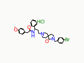 COc1ccc(CC(=O)NC(CCN2CCC3(CC2)CCN(Cc2ccc(Br)cc2)C3=O)c2ccccc2)cc1.Cl